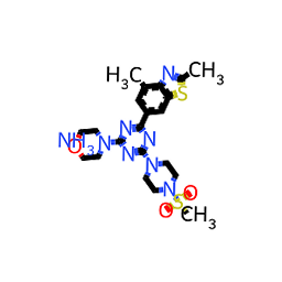 Cc1nc2c(C)cc(-c3nc(N4CCOCC4)nc(N4CCN(S(C)(=O)=O)CC4)n3)cc2s1.N